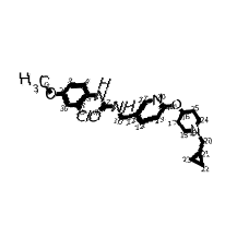 COc1ccc(NC(=O)NCc2ccc(OC3CCN(CC4CC4)CC3)nc2)c(Cl)c1